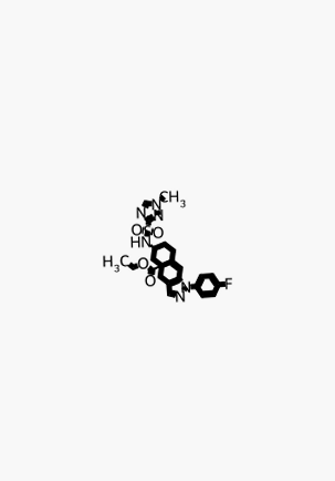 CCOC(=O)[C@]12Cc3cnn(-c4ccc(F)cc4)c3C=C1CC[C@H](NS(=O)(=O)c1ncn(C)n1)C2